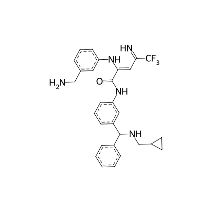 N=C(/C=C(\Nc1cccc(CN)c1)C(=O)Nc1cccc(C(NCC2CC2)c2ccccc2)c1)C(F)(F)F